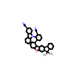 CC1(C)c2ccccc2-c2cc3c(cc21)oc1cccc(-c2cccc(C#N)c2-n2c4ccccc4c4cc(C#N)ccc42)c13